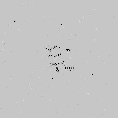 Cc1cccc(S(=O)(=O)OC(=O)O)c1C.[Na]